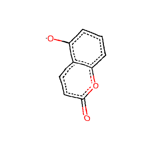 [O]c1cccc2oc(=O)ccc12